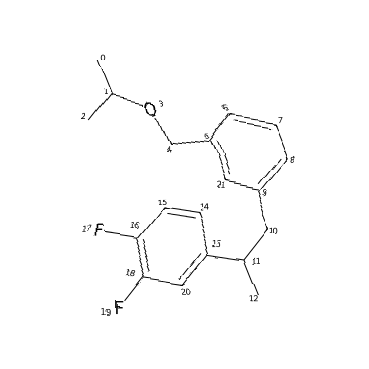 CC(C)OCc1cccc(CC(C)c2ccc(F)c(F)c2)c1